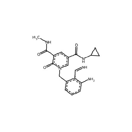 CNC(=O)c1cc(C(=O)NC2CC2)cn(Cc2cccc(N)c2C=N)c1=O